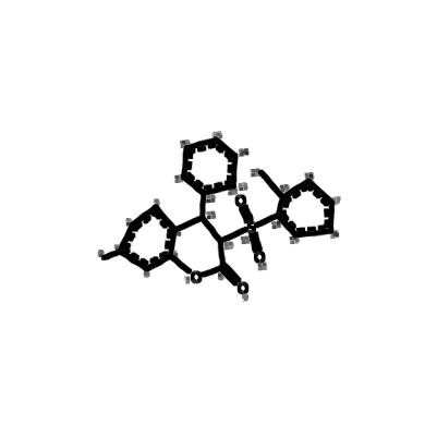 Cc1ccc2c(c1)OC(=O)C(S(=O)(=O)c1ccccc1C)C2c1ccccc1